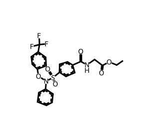 CCOC(=O)CNC(=O)c1ccc(S(=O)(=O)N(Oc2ccc(C(F)(F)F)cc2)c2ccccc2)cc1